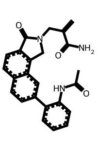 C=C(CN1Cc2c(ccc3ccc(-c4ccccc4NC(C)=O)cc23)C1=O)C(N)=O